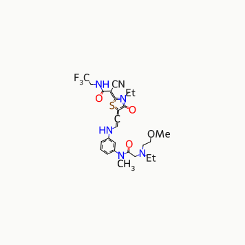 CCN(CCOC)CC(=O)N(C)c1cccc(NC=C=c2s/c(=C(/C#N)C(=O)NCC(F)(F)F)n(CC)c2=O)c1